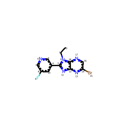 CCn1c(-c2cncc(F)c2)nc2nc(Br)cnc21